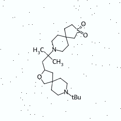 CC(C)(C)N1CCC2(CC1)COC(CC(C)(C)N1CCC3(CC1)CCS(=O)(=O)C3)C2